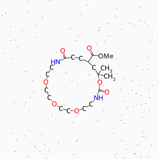 COC(=O)C1CCC(=O)NCCOCCOCCOCCNC(=O)OC(C)(C)C1